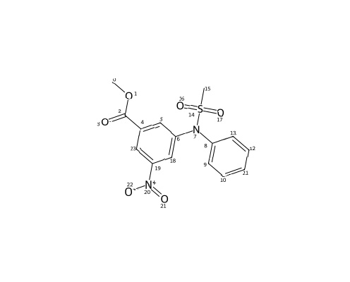 COC(=O)c1cc(N(c2ccccc2)S(C)(=O)=O)cc([N+](=O)[O-])c1